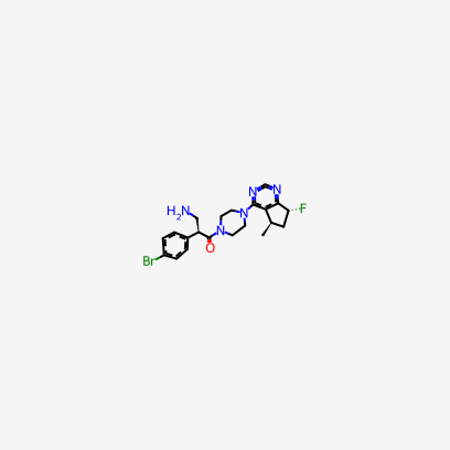 C[C@@H]1C[C@@H](F)c2ncnc(N3CCN(C(=O)[C@H](CN)c4ccc(Br)cc4)CC3)c21